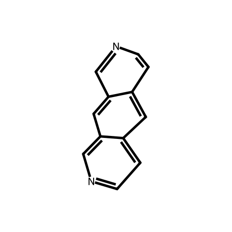 c1cc2cc3ccncc3cc2cn1